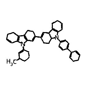 CC1C=C(n2c3c(c4c2C=C(C2=CC5C6=C(C=CCC6)N(c6ccc(C7=CCCC=C7)cc6)C5CC2)CC4)CCC=C3)CCC1